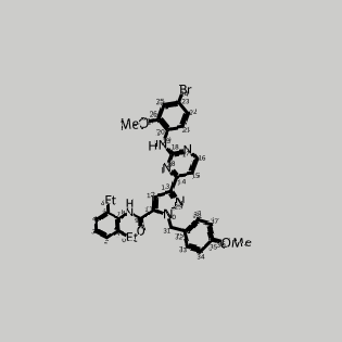 CCc1cccc(CC)c1NC(=O)c1cc(-c2ccnc(Nc3ccc(Br)cc3OC)n2)nn1Cc1ccc(OC)cc1